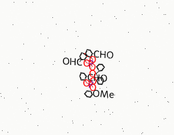 COc1ccccc1OP(Oc1ccccc1C=O)Oc1ccccc1C(=O)c1ccccc1OP(Oc1ccccc1C=O)Oc1ccccc1C=O